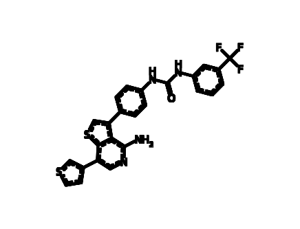 Nc1ncc(-c2ccsc2)c2scc(-c3ccc(NC(=O)Nc4cccc(C(F)(F)F)c4)cc3)c12